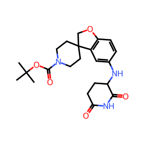 CC(C)(C)OC(=O)N1CCC2(CC1)COc1ccc(NC3CCC(=O)NC3=O)cc12